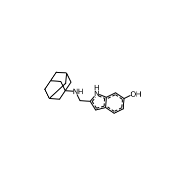 Oc1ccc2cc(CNC34CC5CC(CC(C5)C3)C4)[nH]c2c1